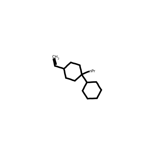 C=CC1CCC(CCC)(C2CCCCC2)CC1